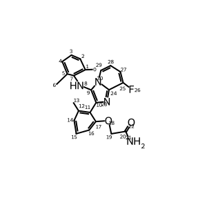 Cc1cccc(C)c1Nc1c(-c2c(C)cccc2OCC(N)=O)nc2c(F)cccn12